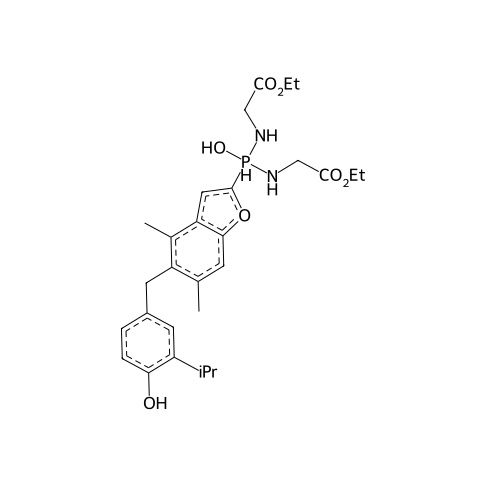 CCOC(=O)CN[PH](O)(NCC(=O)OCC)c1cc2c(C)c(Cc3ccc(O)c(C(C)C)c3)c(C)cc2o1